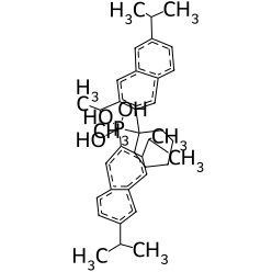 CC(C)c1ccc2cc(C3(P(O)(O)(O)c4cc5ccc(C(C)C)cc5cc4C(C)C)CCCCC3)c(C(C)C)cc2c1